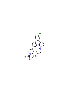 O=C(O)OC1CCN(c2cccc(-c3cc(Cl)ccc3-c3ccc(C4CCN(C(=O)C5CC5)CC4)cc3)n2)CC1